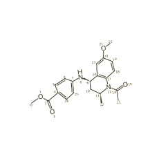 COC(=O)c1ccc(N[C@@H]2C[C@H](C)N(C(C)=O)c3ccc(OC)cc32)cc1